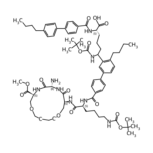 CCCCc1ccc(-c2ccc(C(=O)N[C@@H](CCCC(NC(=O)OC(C)(C)C)c3cc(-c4ccc(C(=O)N[C@@H](CCCCNC(=O)OC(C)(C)C)C(=O)N[C@H]5COCCCCOC[C@@H](C(=O)OC)NC(=O)[C@H](N)NC5=O)cc4)ccc3CCCC)C(=O)O)cc2)cc1